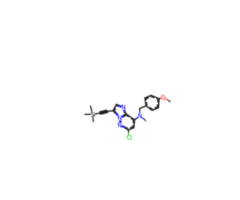 COc1ccc(CN(C)c2cc(Cl)nn3c(C#C[Si](C)(C)C)cnc23)cc1